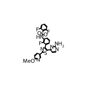 COc1ccc(-c2nc(-c3cccc(NS(=O)(=O)c4c(F)cccc4F)c3F)c(-c3ccnc(N)n3)s2)cn1